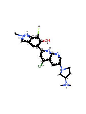 CN(C)[C@@H]1CCN(c2cnc3nc(-c4cc5cn(C)nc5c(F)c4O)cc(Cl)c3c2)C1